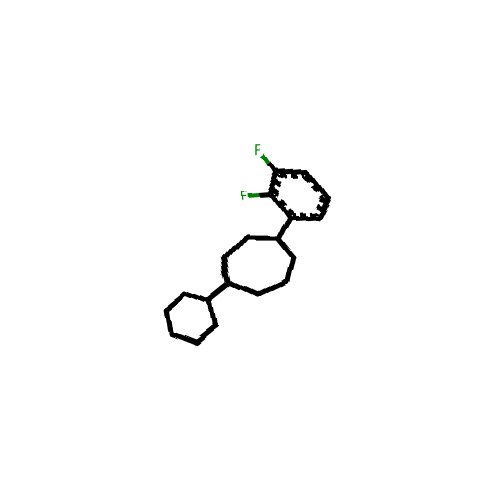 Fc1cccc(C2CCCC(C3CCCCC3)CC2)c1F